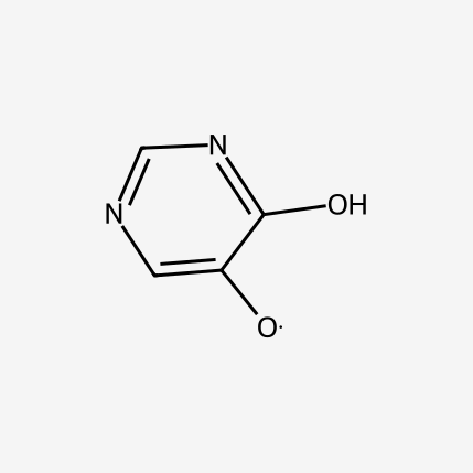 [O]c1cncnc1O